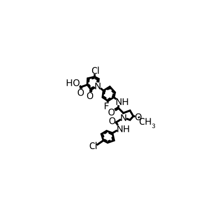 COC1CC(C(=O)Nc2ccc(-n3cc(Cl)cc(C(=O)O)c3=O)cc2F)N(C(=O)Nc2ccc(Cl)cc2)C1